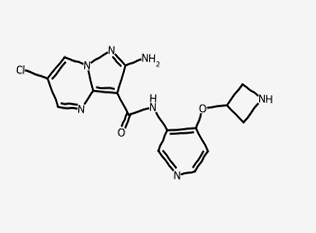 Nc1nn2cc(Cl)cnc2c1C(=O)Nc1cnccc1OC1CNC1